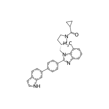 Cc1cccc2nc(-c3ccc(-c4ccc5cc[nH]c5c4)cc3)n(C[C@@H]3CCN(C(=O)C4CC4)C3)c12